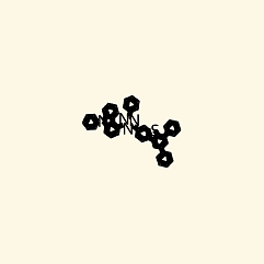 c1ccc(-c2cc(-c3ccccc3)c3sc4cc(-c5nc(-c6ccccc6)nc(-c6cccc7c6c6ccccc6n7-c6ccccc6)n5)ccc4c3c2)cc1